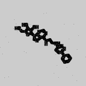 OCC1OC(n2cnc3c(NCCNc4ccc(-c5ccccc5)nn4)ncnc32)C(O)C1O